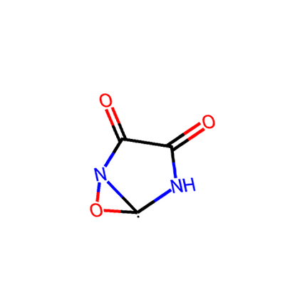 O=C1N[C]2ON2C1=O